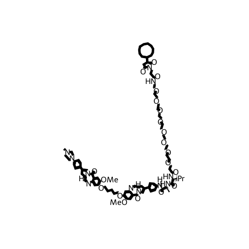 COc1cc2c(cc1OCCCCCOc1cc3c(cc1OC)C(=O)N1C=C(c4ccc(N5CCN(C)CC5)cc4)C[C@H]1C=N3)N=C[C@@H]1CC(c3ccc(NC(=O)[C@H](C)NC(=O)[C@@H](NC(=O)CCOCCOCCOCCOCCOCCOCCOCCOCCNC(=O)CCN4C(=O)CC(C5CCCCCCCCCC5)C4=O)C(C)C)cc3)=CN1C2=O